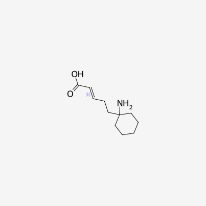 NC1(CC/C=C/C(=O)O)CCCCC1